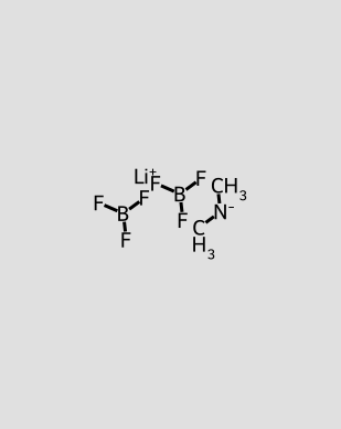 C[N-]C.FB(F)F.FB(F)F.[Li+]